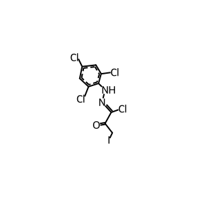 O=C(CI)C(Cl)=NNc1c(Cl)cc(Cl)cc1Cl